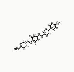 CCCCC1CCC(COc2c(C)cc(CCC3CCC(C4CCC(CC)CC4)CO3)cc2F)CC1